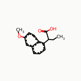 CCC(C(=O)O)c1cccc2cc(OC)ccc12